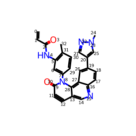 C=CC(=O)Nc1cc(-n2c(=O)c#cc3cnc4ccc(-c5cnn(C)c5)cc4c32)ccc1C